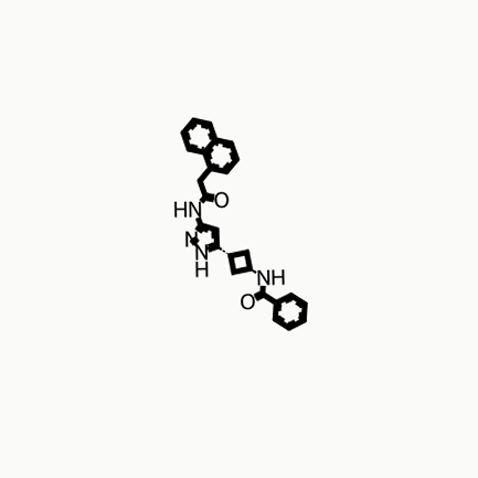 O=C(Cc1cccc2ccccc12)Nc1cc([C@H]2C[C@@H](NC(=O)c3ccccc3)C2)[nH]n1